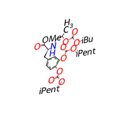 CCCC(C)OC(=O)Oc1ccc(C[C@H](NCC(C)OC(=O)OC(C)CC)C(=O)OC)cc1OC(=O)OC(C)CCC